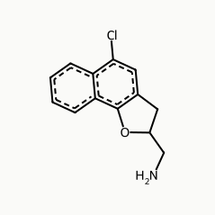 NCC1Cc2cc(Cl)c3ccccc3c2O1